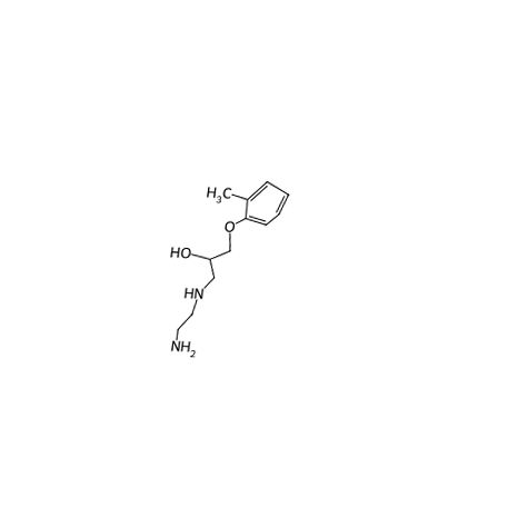 Cc1ccccc1OCC(O)CNCCN